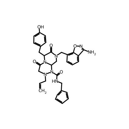 C=CCN1CC(=O)N2C(Cc3ccc(O)cc3)C(=O)N(Cc3cccc4c(N)noc34)CC2N1C(=O)NCc1ccccc1